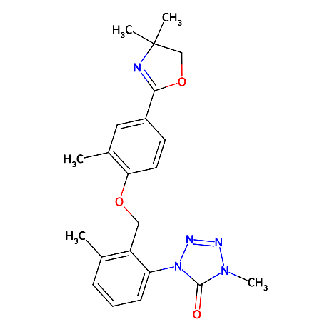 Cc1cc(C2=NC(C)(C)CO2)ccc1OCc1c(C)cccc1-n1nnn(C)c1=O